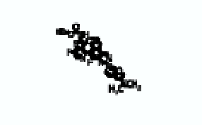 CN(C)C1COC2(CCN(c3ncc4c5c(c(-c6ncc(F)c7sc(NC(=O)OC(C)(C)C)c(C#N)c67)c(F)c4n3)COC5)C2)C1